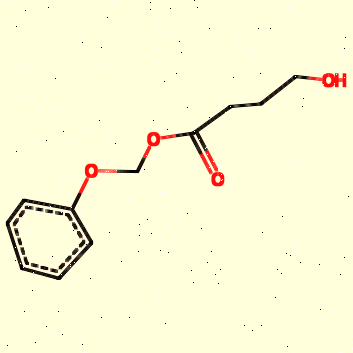 O=C(CCCO)OCOc1ccccc1